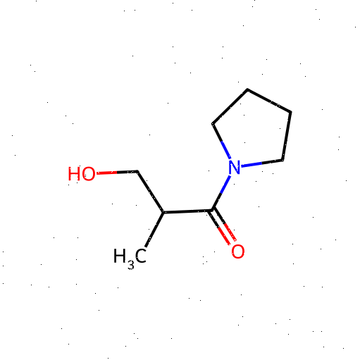 CC(CO)C(=O)N1CCCC1